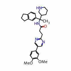 COc1ccc(-c2cnc(CCC(=O)NC(C)(c3ccc4c(c3)CCC4)C3CCCNC3)nc2)cc1OC